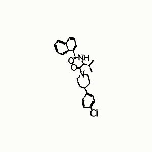 CC(C)C(NC(=O)c1cccc2ccccc12)C(=O)N1CCC(c2ccc(Cl)cc2)CC1